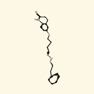 O=C1CCc2cc(OCCCC=NOSCCc3ccccc3)ccc2N1